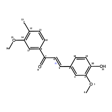 COc1cc(/C=C/C(=O)c2ccc(I)c(OC)c2)ccc1O